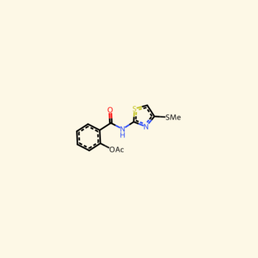 CSc1csc(NC(=O)c2ccccc2OC(C)=O)n1